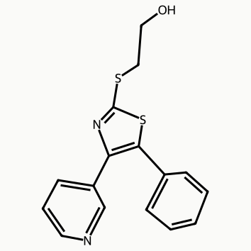 OCCSc1nc(-c2cccnc2)c(-c2ccccc2)s1